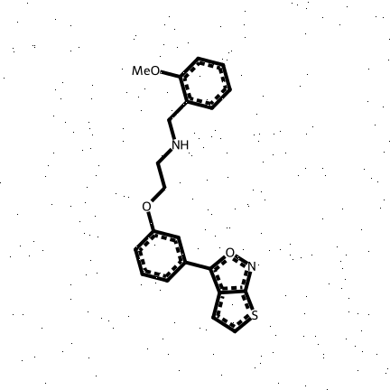 COc1ccccc1CNCCOc1cccc(-c2onc3sccc23)c1